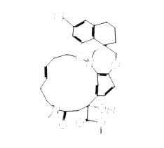 COC(=O)[C@]1(O)CC(=O)N(C)CC/C=C/CCCN2C[C@@]3(CCCc4cc(Cl)ccc43)COc3ccc1cc32